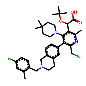 Cc1cc(F)ccc1CN1CCc2cc(-c3c(CBr)nc(C)c(C(OC(C)(C)C)C(=O)O)c3N3CCC(C)(C)CC3)ccc2C1